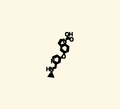 O=C(O)n1ccc2cc(Oc3ccnc(CNC4CC4)c3)ccc21